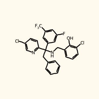 Oc1c(Cl)cccc1CNC(Cc1ccccc1)(c1cc(F)cc(C(F)(F)F)c1)c1ccc(Cl)cn1